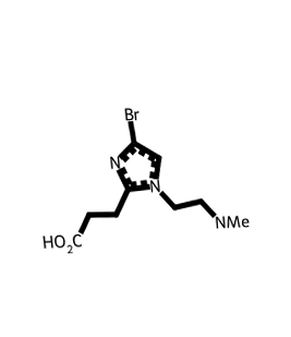 CNCCn1cc(Br)nc1CCC(=O)O